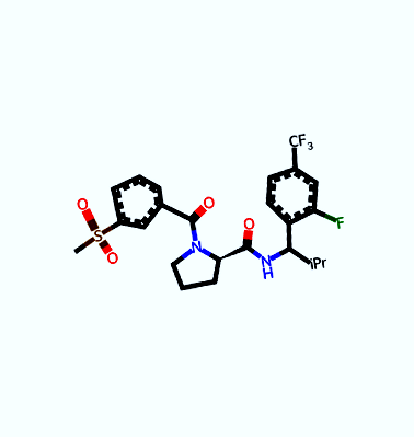 CC(C)C(NC(=O)[C@H]1CCCN1C(=O)c1cccc(S(C)(=O)=O)c1)c1ccc(C(F)(F)F)cc1F